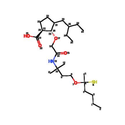 CCCCC(C)(S)OCCC(C)(C)NC(=O)CO[C@H]1C(CC(CC)CC)CC[C@@H]1C(=O)O